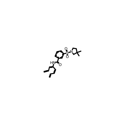 C=C/C=C\C(=C/C=C)NC(=O)c1cccc(S(=O)(=O)N2CCC(C)(C)C2)c1